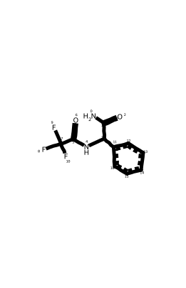 NC(=O)C(NC(=O)C(F)(F)F)c1ccccc1